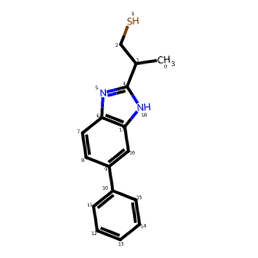 CC(CS)c1nc2ccc(-c3ccccc3)cc2[nH]1